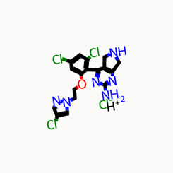 Nc1nc2c(c(-c3c(Cl)cc(Cl)cc3OCCn3cc(Cl)cn3)n1)CNC2.[Cl-].[H+]